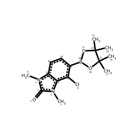 Cn1c(=O)n(C)c2c(Cl)c(B3OC(C)(C)C(C)(C)O3)ccc21